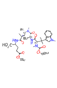 C/C(=C\[C@H](C(C)C)N(C)C(=O)[C@@H](NC(=O)[C@@H](N(C)C(=O)OC(C)(C)C)C(C)(C)c1cn(C)c2ccccc12)C(C)(C)C)C(=O)NC(CCC(=O)OC(C)(C)C)C(=O)O